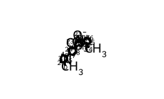 Cc1cccc(-c2ccc(OCc3c(C)cccc3[N+](=O)[O-])c(C)c2)n1